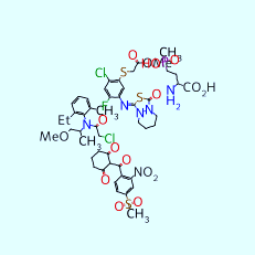 CCc1cccc(C)c1N(C(=O)CCl)C(C)COC.COC(=O)CSc1cc(/N=c2\sc(=O)n3n2CCCC3)c(F)cc1Cl.CP(=O)(O)CCC(N)C(=O)O.CS(=O)(=O)c1ccc(C(=O)C2C(=O)CCCC2=O)c([N+](=O)[O-])c1